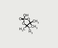 CC1(C)OP(=O)(O)OC1(C)C